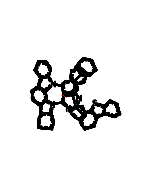 c1ccc(-c2cc(-c3ccccc3)cc(-n3c4ccccc4c4ccc5c6ccccc6n(-c6nc(-c7ccccc7)nc(-c7cccc8c7sc7ccccc78)n6)c5c43)c2)cc1